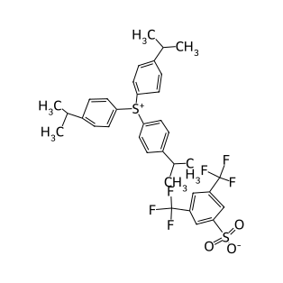 CC(C)c1ccc([S+](c2ccc(C(C)C)cc2)c2ccc(C(C)C)cc2)cc1.O=S(=O)([O-])c1cc(C(F)(F)F)cc(C(F)(F)F)c1